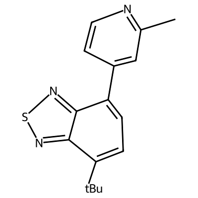 Cc1cc(-c2ccc(C(C)(C)C)c3nsnc23)ccn1